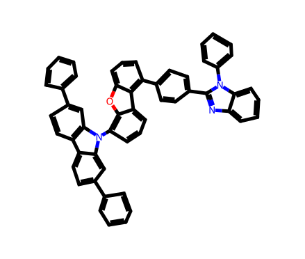 c1ccc(-c2ccc3c4ccc(-c5ccccc5)cc4n(-c4cccc5c4oc4cccc(-c6ccc(-c7nc8ccccc8n7-c7ccccc7)cc6)c45)c3c2)cc1